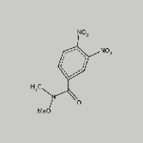 CON(C)C(=O)c1ccc([N+](=O)[O-])c([N+](=O)[O-])c1